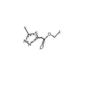 Cc1nnc(C(=O)OCI)s1